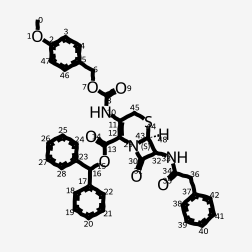 COc1ccc(COC(=O)NC2=C(C(=O)OC(c3ccccc3)c3ccccc3)N3C(=O)C(NC(=O)Cc4ccccc4)[C@@H]3SC2)cc1